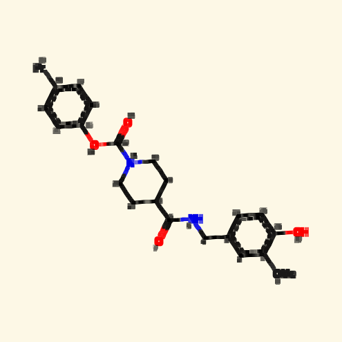 COc1cc(CNC(=O)C2CCN(C(=O)Oc3ccc(C(C)C)cc3)CC2)ccc1O